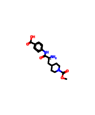 COC(=O)N1CCC(C[C@H](N)C(=O)Nc2ccc(C(=O)O)cc2)CC1